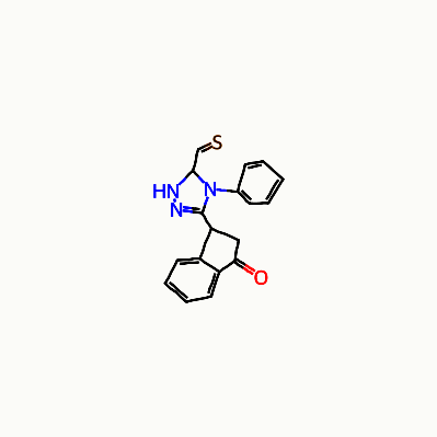 O=C1CC(C2=NNC(C=S)N2c2ccccc2)c2ccccc21